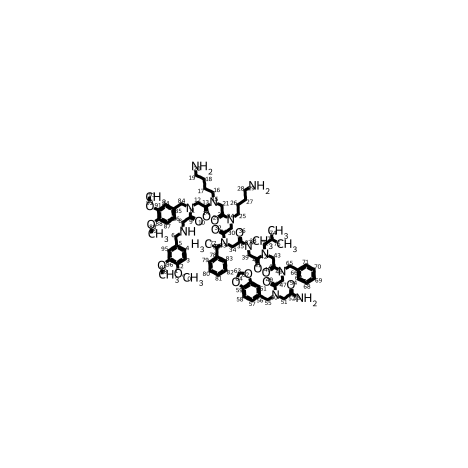 COc1ccc(CNCC(=O)N(CC(=O)N(CCCCN)CC(=O)N(CCCCN)CC(=O)N(CC(=O)N(C)CC(=O)N(CC(=O)N(CC(=O)N(CC(N)=O)Cc2ccc3c(c2)OCO3)Cc2ccccc2)CC(C)C)[C@H](C)c2ccccc2)Cc2ccc(OC)c(OC)c2)cc1OC